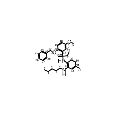 CCCCCNC1=C(PC(C)(CC)c2cc(OC)ccc2OCc2ccccc2)CCC(C)=C1